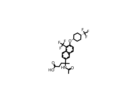 CC(=O)NC(C)(CCC(=O)O)c1ccc2c(C(F)(F)F)c(O[C@H]3CC[C@@H](C(F)(F)F)CC3)ccc2c1